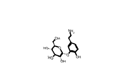 NCCc1ccc(O)c(O[C@H]2O[C@H](CO)[C@@H](O)[C@H](O)[C@H]2O)c1